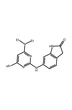 CCCc1cc(N(CC)CC)nc(Nc2ccc3c(c2)NC(=O)C3)n1